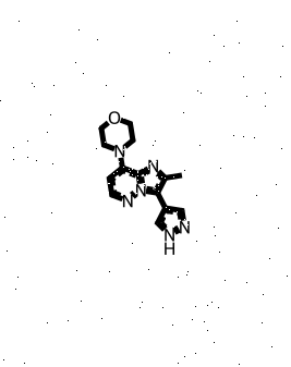 Cc1nc2c(N3CCOCC3)ccnn2c1-c1cn[nH]c1